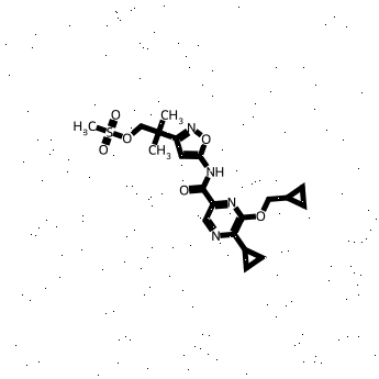 CC(C)(COS(C)(=O)=O)c1cc(NC(=O)c2cnc(C3CC3)c(OCC3CC3)n2)on1